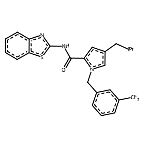 CC(C)Cc1cc(C(=O)Nc2nc3ccccc3s2)n(Cc2cccc(C(F)(F)F)c2)c1